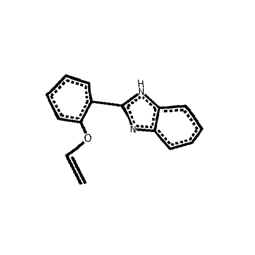 C=COc1ccccc1-c1nc2ccccc2[nH]1